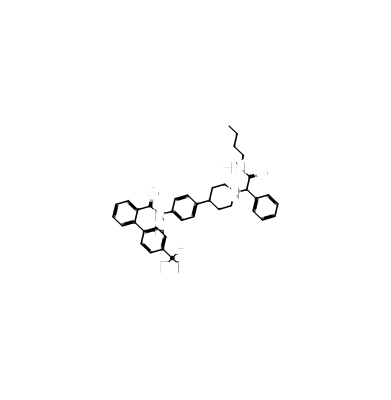 CCCCNC(=O)C(c1ccccc1)N1CCC(c2ccc(NC(=O)c3ccccc3-c3ccc(C(F)(F)F)cc3)cc2)CC1